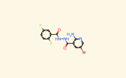 Nc1ncc(Br)cc1C(=O)NNC(=O)c1cc(F)ccc1F